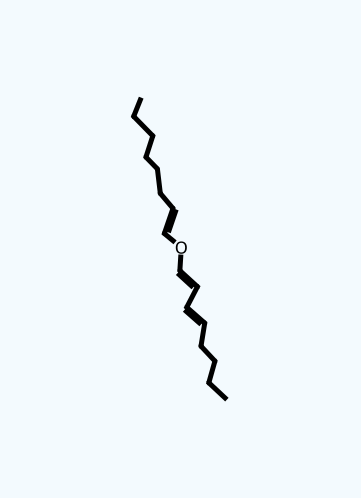 CCCCC=CC=COC=CCCCCCC